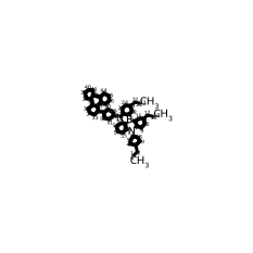 CCCc1ccc(N2c3ccc(CCC)cc3B3c4cc(CCC)ccc4N(c4ccc(-c5cccc6c7ccccc7c7ccccc7c56)cc4)c4cccc2c43)cc1